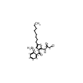 CCCCCCCCc1cc(C(=O)c2ccccc2OC)c(NC(=O)CCl)s1